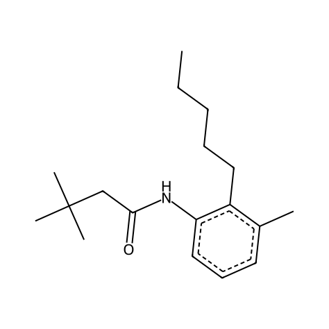 CCCCCc1c(C)cccc1NC(=O)CC(C)(C)C